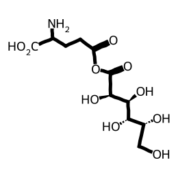 NC(CCC(=O)OC(=O)[C@H](O)[C@@H](O)[C@@H](O)[C@H](O)CO)C(=O)O